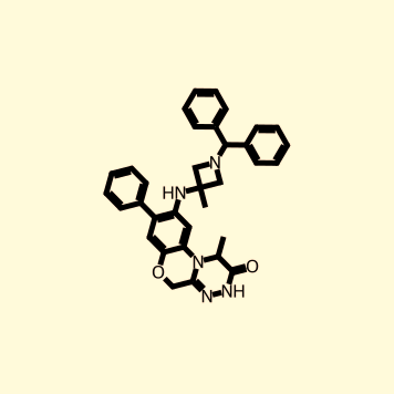 CC1C(=O)NN=C2COc3cc(-c4ccccc4)c(NC4(C)CN(C(c5ccccc5)c5ccccc5)C4)cc3N21